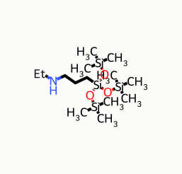 [CH2]CNCCC[Si](O[Si](C)(C)C)(O[Si](C)(C)C)O[Si](C)(C)C